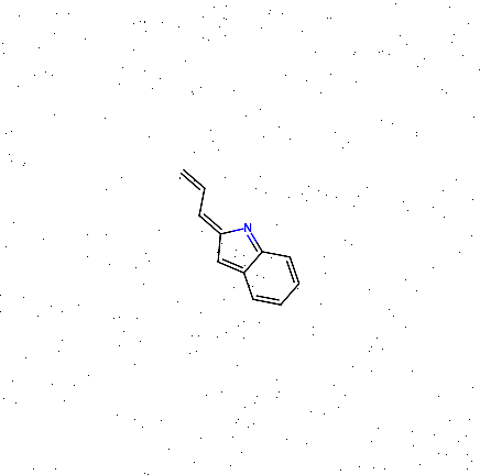 C=CC=C1C=c2ccccc2=N1